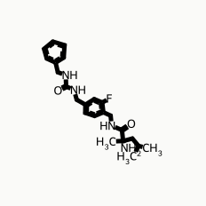 CC(C)CC(C)(N)C(=O)NCc1ccc(CNC(=O)NCc2ccccc2)cc1F